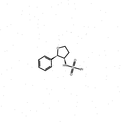 CC(C)S(=O)(=O)N[C@@H]1CCO[C@@H]1c1ccccc1